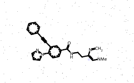 C=N/C(=C\NC)CCNC(=O)c1ccc(-n2cccn2)c(C#Cc2ccccc2)c1